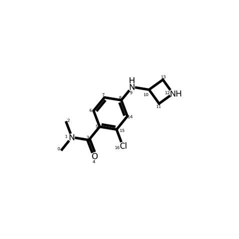 CN(C)C(=O)c1ccc(NC2CNC2)cc1Cl